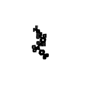 O=C(NC1CC(F)(F)C1)c1cc(NC(=O)[C@H]2[C@H](c3ccc([N+](=O)[O-])cc3)C2(Cl)Cl)ccc1Cl